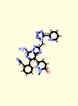 Cn1nc(-c2c(-c3ccccc3C#N)nc(N)n3nc(Cn4nnnc4-c4ccccn4)nc23)ccc1=O